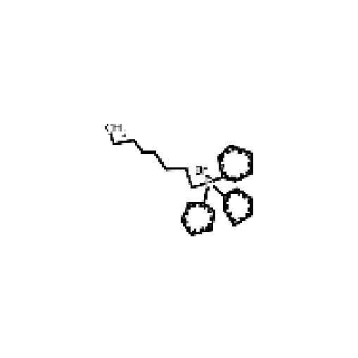 CCCCCCCCP(Br)(c1ccccc1)(c1ccccc1)c1ccccc1